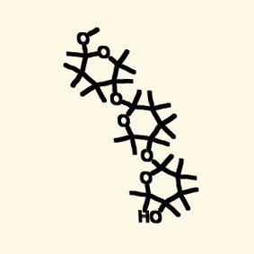 COC1(C)OC(C)(C)C(C)(OC2(C)OC(C)(C)C(C)(OC3(C)OC(C)(C)C(C)(O)C(C)(C)C3(C)C)C(C)(C)C2(C)C)C(C)(C)C1(C)C